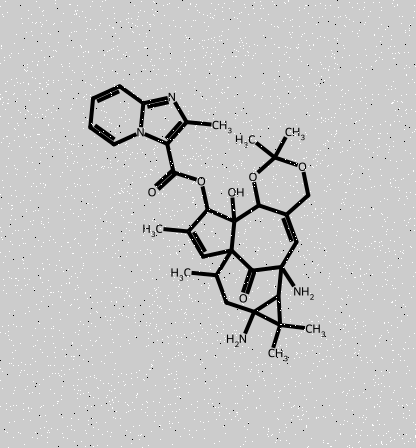 CC1=CC23C(=O)C(N)(C=C4COC(C)(C)OC4C2(O)C1OC(=O)c1c(C)nc2ccccn12)C1C(C)(C)C1(N)CC3C